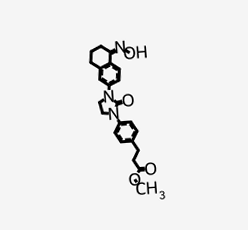 COC(=O)CCc1ccc(N2CCN(c3ccc4c(c3)CCC/C4=N/O)C2=O)cc1